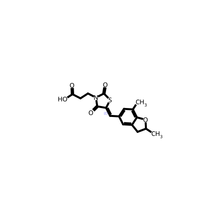 Cc1cc(/C=C2\SC(=O)N(CCC(=O)O)C2=O)cc2c1OC(C)C2